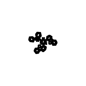 c1ccc(-n2nc(-c3nc(-c4cccc5c4oc4ccccc45)nc(-c4cccc5c4oc4ccccc45)n3)c3ccccc32)cc1